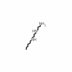 CCCCCCNCCCCNCCCN